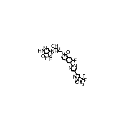 C[C@@H](CCCn1ccc2cc(-c3ncc(-c4cc(C(F)(F)F)n(C)n4)cn3)c(F)cc2c1=O)Nc1cn[nH]c(=O)c1C(F)(F)F